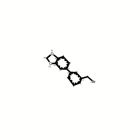 BrCc1cccc(-c2ccc3c(c2)OCO3)c1